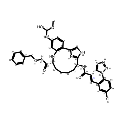 COC(O)Nc1ccc2c(c1)N[C@@H](C(=O)NOCc1ccccc1)CCCC[C@H](NC(=O)/C=C/c1cc(Cl)ccc1-n1cnnn1)c1nc-2c[nH]1